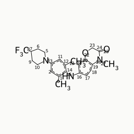 Cc1cc(N2CCC(C(F)(F)F)CC2)cc(C)c1Nc1ccc2c(c1)OCC(=O)N2C